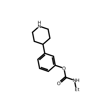 CCNC(=O)Oc1cccc(C2CCNCC2)c1